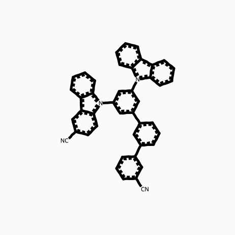 N#Cc1cccc(-c2cccc(-c3cc(-n4c5ccccc5c5ccccc54)cc(-n4c5ccccc5c5cc(C#N)ccc54)c3)c2)c1